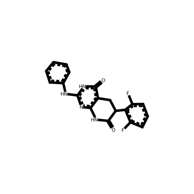 O=C1Nc2nc(Nc3ccccc3)[nH]c(=O)c2CC1c1c(F)cccc1F